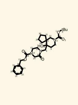 CC(C)(C)OC(=O)N1CCC(O)(CN2CCN(C(=O)OCc3ccccc3)CC2=O)C2(CCCC2)C1